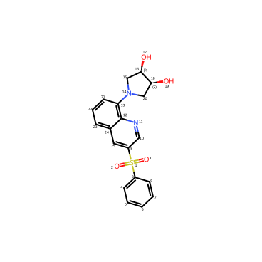 O=S(=O)(c1ccccc1)c1cnc2c(N3C[C@@H](O)[C@@H](O)C3)cccc2c1